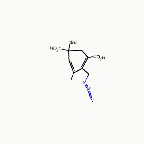 CC1=CC(C(=O)O)(C(C)(C)C)CC(C(=O)O)=C1CN=[N+]=[N-]